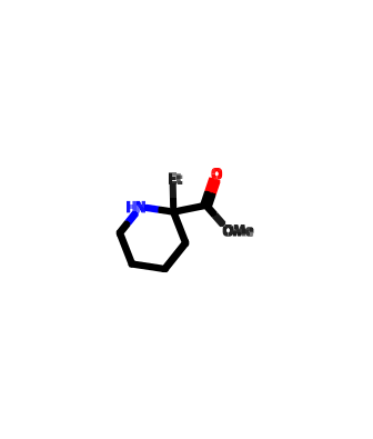 CCC1(C(=O)OC)CCCCN1